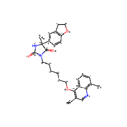 CCCc1cnc2c(C(F)(F)F)cccc2c1OCCCCCCN1C(=O)NC(C)(c2ccc3c(c2)CCO3)C1=O